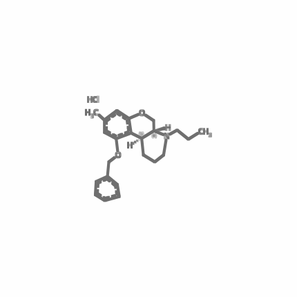 CCCN1CCC[C@H]2c3c(OCc4ccccc4)cc(C)cc3OC[C@@H]21.Cl